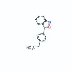 O=C(O)Cc1ccc(-c2onc3ccccc23)cc1